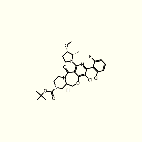 CO[C@H]1CCN(c2nc(-c3c(O)cccc3F)c(Cl)c3c2C(=O)N2CCN(C(=O)OC(C)(C)C)C[C@@H]2CO3)[C@H]1C